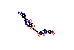 COC(=O)c1ccc(C2=CN3C(=O)c4cc(OC)c(OCCCCCOC5=CC6=C(C(=O)N7C=C(c8ccc(N)cc8)CC7C=N6)C(C)C5OC)cc4N=C[C@@H]3C2)cc1